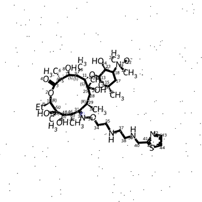 CC[C@H]1OC(=O)[C@H](C)[C@@H](O)[C@H](C)[C@H](O[C@@H]2O[C@H](C)CC([N+](C)(C)[O-])[C@@H]2O)[C@](C)(O)C[C@@H](C)/C(=N\OCCNCCNCc2nccs2)[C@H](C)[C@H](O)[C@]1(C)O